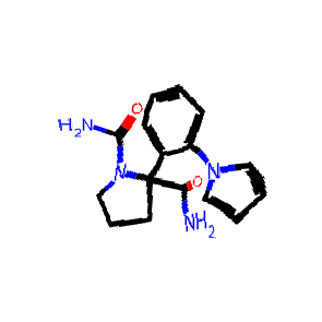 NC(=O)N1CCCC1(C(N)=O)c1ccccc1-n1cccc1